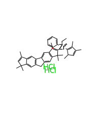 Cl.Cl.[CH2]=[Zr]([CH2]C)([C]1=C(C)C(C)=CC1C)([C]1=C(C)c2cc3c(cc2C1(C)C)Cc1cc2c(cc1-3)C(C)=CC2(C)C)[c]1ccccc1